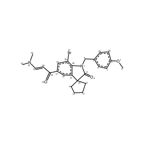 COc1ccc(CN2C(=O)C3(CCCC3)c3cc(C(=O)C=CN(C)C)cc(Br)c32)cc1